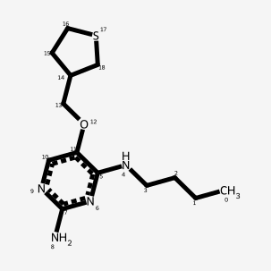 CCCCNc1nc(N)ncc1OCC1CCSC1